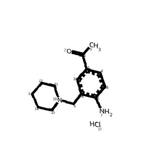 CC(=O)c1ccc(N)c(CN2CCCCC2)c1.Cl